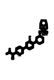 CN(C)C(=O)c1ccc(-c2ccc(N3CCCC(OC(=O)N4C5CCC4CC(O)C5)C3)c(F)c2)cn1